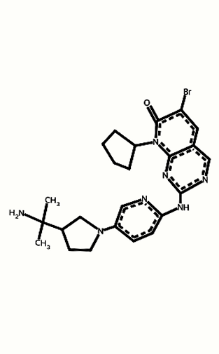 CC(C)(N)C1CCN(c2ccc(Nc3ncc4cc(Br)c(=O)n(C5CCCC5)c4n3)nc2)C1